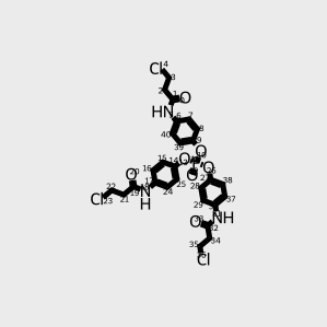 O=C(CCCl)Nc1ccc(OP(=O)(Oc2ccc(NC(=O)CCCl)cc2)Oc2ccc(NC(=O)CCCl)cc2)cc1